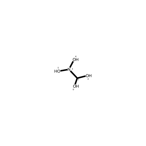 OC(O)N(O)O